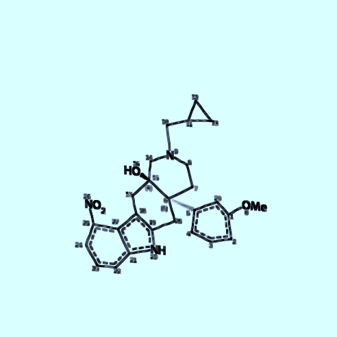 COc1cccc([C@@]23CCN(CC4CC4)C[C@@]2(O)Cc2c([nH]c4cccc([N+](=O)[O-])c24)C3)c1